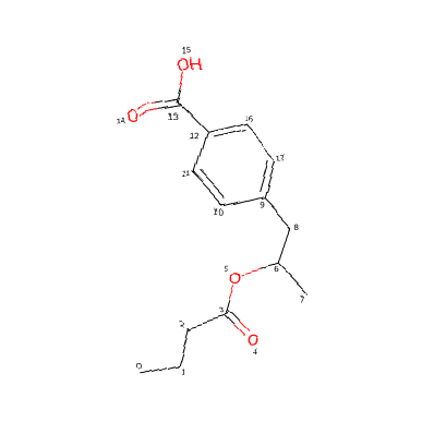 CCCC(=O)OC(C)Cc1ccc(C(=O)O)cc1